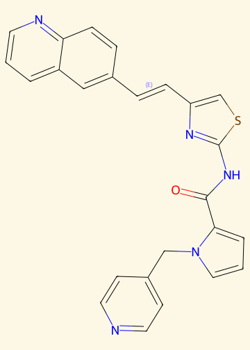 O=C(Nc1nc(/C=C/c2ccc3ncccc3c2)cs1)c1cccn1Cc1ccncc1